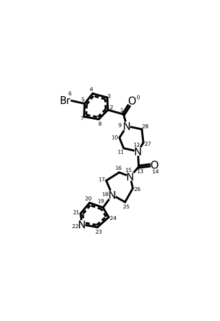 O=C(c1ccc(Br)cc1)N1CCN(C(=O)N2CCN(c3ccncc3)CC2)CC1